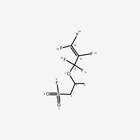 CC(CS(=O)(=O)F)OC(F)(F)C(F)=C(F)F